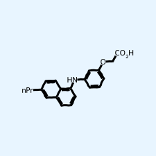 CCCc1ccc2c(Nc3cccc(OCC(=O)O)c3)cccc2c1